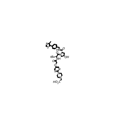 Cc1ncsc1-c1ccc(CNC(=O)[C@@H]2C[C@@H](O)CN2C(=O)[C@@H](NC(=O)COc2cnc(N3CCN(CC(=O)O)CC3)nc2)C(C)(C)C)cc1